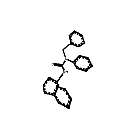 O=C(Nc1cccc2ccccc12)N(Cc1ccccc1)c1ccccc1